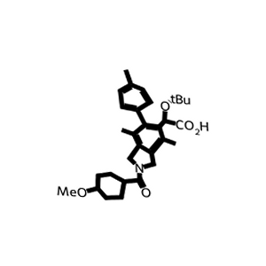 COC1CCC(C(=O)N2Cc3c(C)c(-c4ccc(C)cc4)c(C(OC(C)(C)C)C(=O)O)c(C)c3C2)CC1